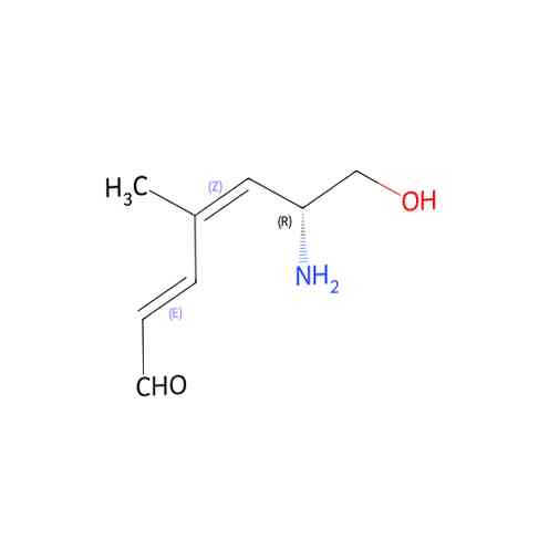 CC(=C/[C@@H](N)CO)/C=C/C=O